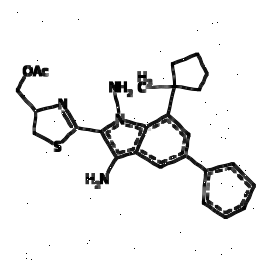 CC(=O)OCC1CSC(c2c(N)c3cc(-c4ccccc4)cc(C4(C)CCCC4)c3n2N)=N1